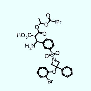 CC(OC(=O)C(C)C)OC(=O)[C@H](C(=O)O)C(N)c1cccc(S(=O)(=O)N2CC(Oc3ccccc3Br)(c3ccccc3)C2)c1